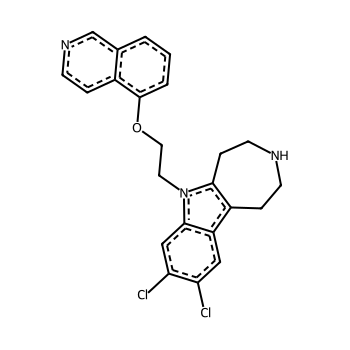 Clc1cc2c3c(n(CCOc4cccc5cnccc45)c2cc1Cl)CCNCC3